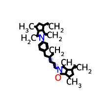 C=C/C(=C\C=C\N1C(=C)C2C(C=C)CC(C)C2C1=O)Cc1ccc(N2C(=C)C3C(C)CC(C=C)C3C2=C)cc1